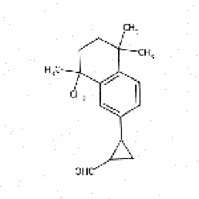 CC1(C)CCC(C)(C)c2cc(C3CC3C=O)ccc21